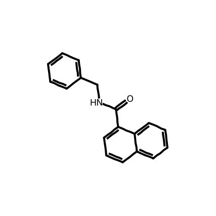 O=C(NCc1ccccc1)c1cccc2ccccc12